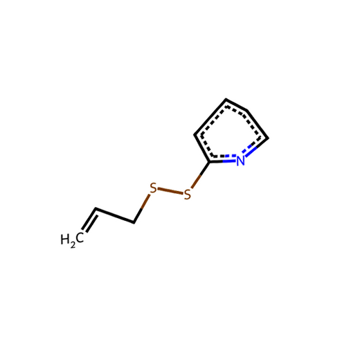 C=CCSSc1ccccn1